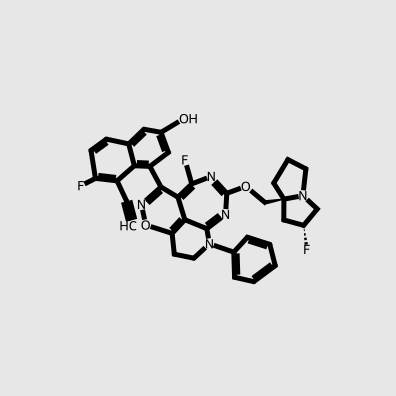 C#Cc1c(F)ccc2cc(O)cc(C3=NOC4=C5C(=NC(OC[C@@]67CCCN6C[C@H](F)C7)=NC(F)=C35)N(c3ccccc3)CC4)c12